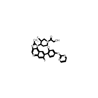 Cc1nc2cnc3cc(F)c(-c4ccc(Oc5ncccn5)cc4Cl)cc3c2n1C1CCN(C(=O)CO)CC1F